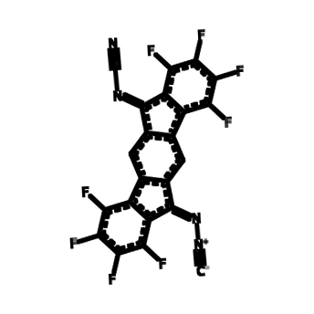 [C-]#[N+]/N=c1/c2cc3c(cc2c2c(F)c(F)c(F)c(F)c12)/c(=N/C#N)c1c(F)c(F)c(F)c(F)c13